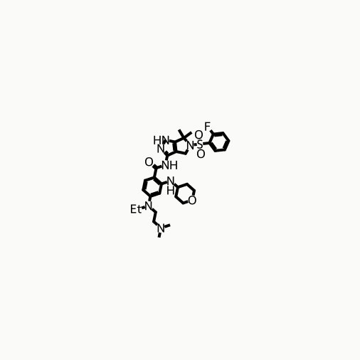 CCN(CCN(C)C)c1ccc(C(=O)Nc2n[nH]c3c2CN(S(=O)(=O)c2ccccc2F)C3(C)C)c(NC2CCOCC2)c1